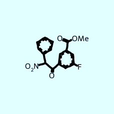 COC(=O)c1cc(F)cc(C(=O)C(c2ccccc2)[N+](=O)[O-])c1